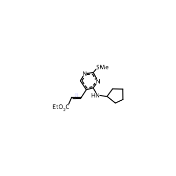 CCOC(=O)/C=C/c1cnc(SC)nc1NC1CCCC1